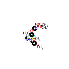 COc1ccc(CN(Sc2c(F)cc(OC3CCN(C(=O)OC(C)(C)C)CC3)c(C)c2F)c2nccs2)c(OC)c1